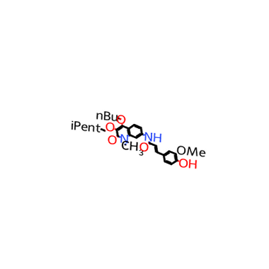 CCCCOc1c(OCC(C)CCC)c(=O)n(C)c2cc(NC(=O)C=Cc3ccc(O)c(OC)c3)ccc12